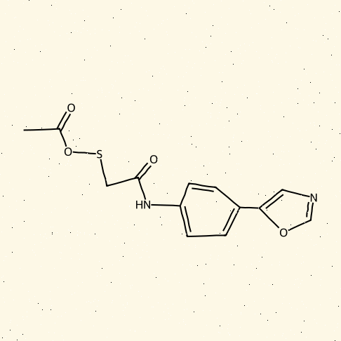 CC(=O)OSCC(=O)Nc1ccc(-c2cnco2)cc1